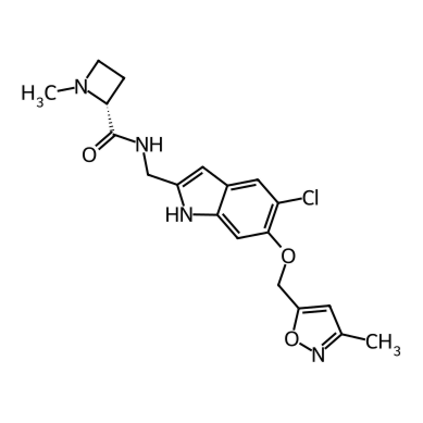 Cc1cc(COc2cc3[nH]c(CNC(=O)[C@H]4CCN4C)cc3cc2Cl)on1